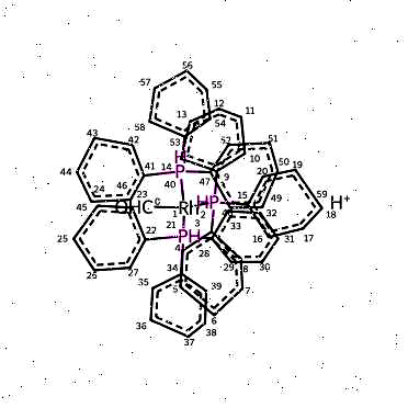 O=[CH][Rh]([PH](c1ccccc1)(c1ccccc1)c1ccccc1)([PH](c1ccccc1)(c1ccccc1)c1ccccc1)[PH](c1ccccc1)(c1ccccc1)c1ccccc1.[H+]